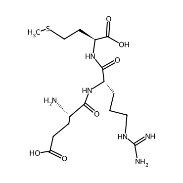 CSCC[C@H](NC(=O)[C@H](CCCNC(=N)N)NC(=O)[C@@H](N)CCC(=O)O)C(=O)O